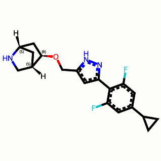 Fc1cc(C2CC2)cc(F)c1-c1cc(CO[C@@H]2C[C@@H]3C[C@H]2CN3)[nH]n1